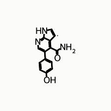 NC(=O)c1c(-c2ccc(O)cc2)cnc2[nH]c[c]c12